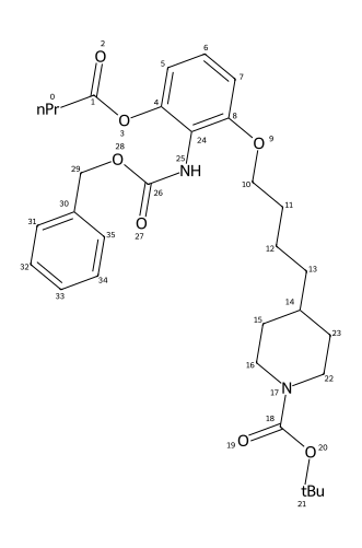 CCCC(=O)Oc1cccc(OCCCCC2CCN(C(=O)OC(C)(C)C)CC2)c1NC(=O)OCc1ccccc1